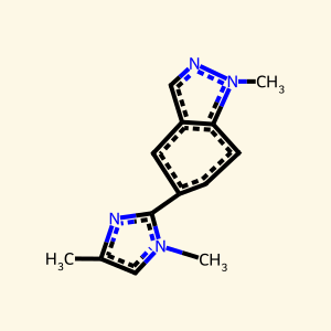 Cc1cn(C)c(-c2ccc3c(cnn3C)c2)n1